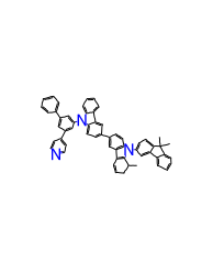 CC1CC=Cc2c1n(-c1ccc3c(c1)-c1ccccc1C3(C)C)c1ccc(-c3ccc4c(c3)c3ccccc3n4-c3cc(-c4ccccc4)cc(-c4ccncc4)c3)cc21